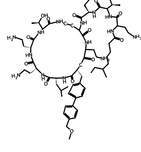 CCC(C)CCCCC(=O)NC(CCN)C(=O)NC(C(=O)N[C@H](CCN)C(=O)NC1CCNC(=O)[C@@H]([C@@H](C)O)NC(=O)[C@@H](CCN)NC(=O)[C@@H](CCN)NC(=O)[C@@H](CC(C)C)NC(=O)[C@@H](Cc2ccc(-c3ccc(COC)cc3)cc2)CC(=O)C(CCN)NC1=O)[C@H](C)O